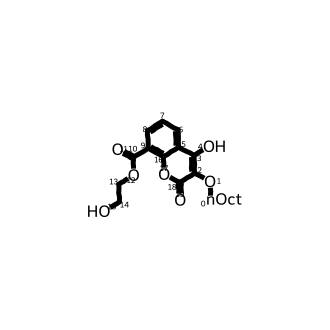 CCCCCCCCOc1c(O)c2cccc(C(=O)OCCO)c2oc1=O